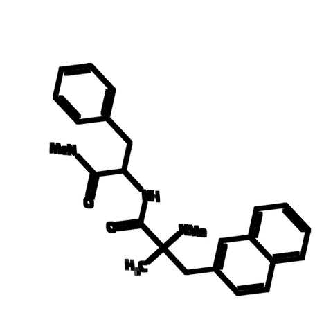 CNC(=O)C(Cc1ccccc1)NC(=O)C(C)(Cc1ccc2ccccc2c1)NC